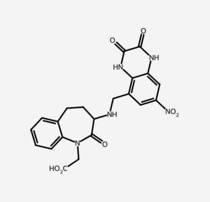 O=C(O)CN1C(=O)C(NCc2cc([N+](=O)[O-])cc3[nH]c(=O)c(=O)[nH]c23)CCc2ccccc21